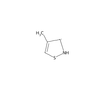 CC1=CSN[C]1